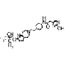 Cc1ncc(CC(=O)N[C@H]2CC[C@H](CCN3CCc4ccc(OCC(C)(C)C#N)nc4CC3)CC2)s1